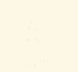 N=C(N)c1ccc2[nH]c(-c3[nH]nc(-c4ccc(Br)cc4)c3O)nc2c1